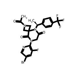 CC(=O)N1CC2(C1)C(=O)N(c1ncc(Br)cc1F)CC(=O)N2[C@@H](C)c1ccc(C(F)(F)F)cc1